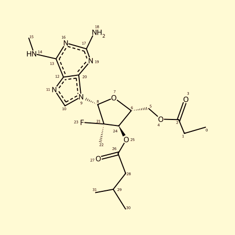 CCC(=O)OC[C@H]1O[C@@H](n2cnc3c(NC)nc(N)nc32)[C@](C)(F)[C@@H]1OC(=O)CC(C)C